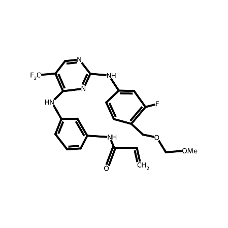 C=CC(=O)Nc1cccc(Nc2nc(Nc3ccc(COCOC)c(F)c3)ncc2C(F)(F)F)c1